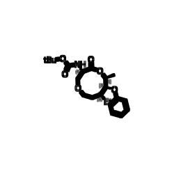 CC[C@H]1CCOC[C@H](NC(=O)OC(C)(C)C)C(=O)O[C@@H](C)[C@@H]1Oc1ccccc1